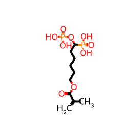 C=C(C)C(=O)OCCCCCC(OP(=O)(O)O)P(=O)(O)O